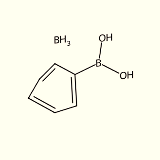 B.OB(O)c1ccccc1